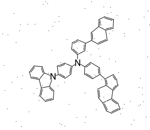 c1cc(-c2ccc3ccccc3c2)cc(N(c2ccc(-c3cccc4c3ccc3ccccc34)cc2)c2ccc(-n3c4ccccc4c4ccccc43)cc2)c1